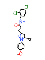 COc1ccc(-n2nc(CCC(=O)NCc3ccc(Cl)cc3Cl)cc2C2CC2)cc1